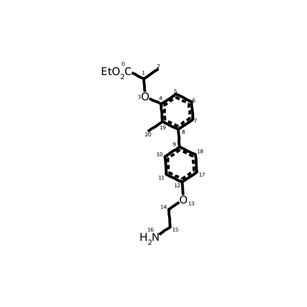 CCOC(=O)C(C)Oc1cccc(-c2ccc(OCCN)cc2)c1C